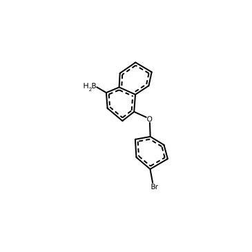 Bc1ccc(Oc2ccc(Br)cc2)c2ccccc12